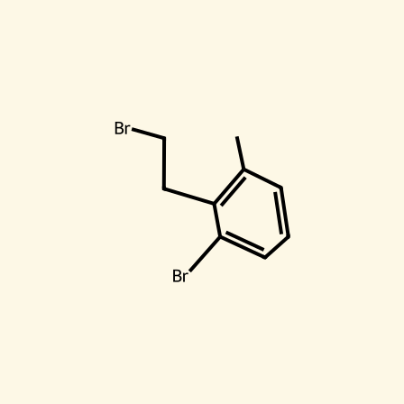 Cc1cccc(Br)c1CCBr